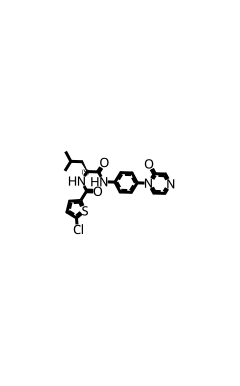 CC(C)C[C@H](NC(=O)c1ccc(Cl)s1)C(=O)Nc1ccc(-n2ccncc2=O)cc1